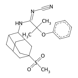 CC(C)(Oc1ccccc1)/C(=N\C#N)NC1C2CC3CC1CC(S(C)(=O)=O)(C3)C2